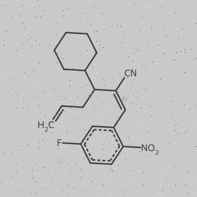 C=CCC(/C(C#N)=C\c1cc(F)ccc1[N+](=O)[O-])C1CCCCC1